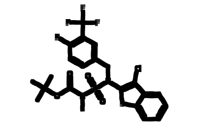 CN(C(=O)OC(C)(C)C)S(=O)(=O)N(Cc1ccc(F)c(C(F)(F)F)c1)c1sc2ccccc2c1Cl